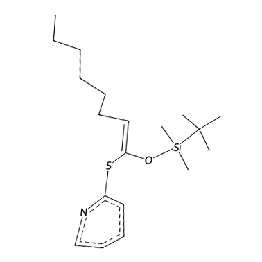 CCCCCC/C=C(/O[Si](C)(C)C(C)(C)C)Sc1ccccn1